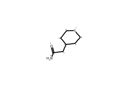 NC(=O)CC1CCSCC1